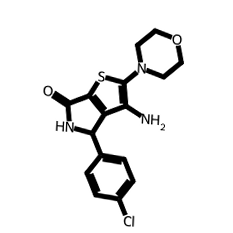 Nc1c(N2CCOCC2)sc2c1C(c1ccc(Cl)cc1)NC2=O